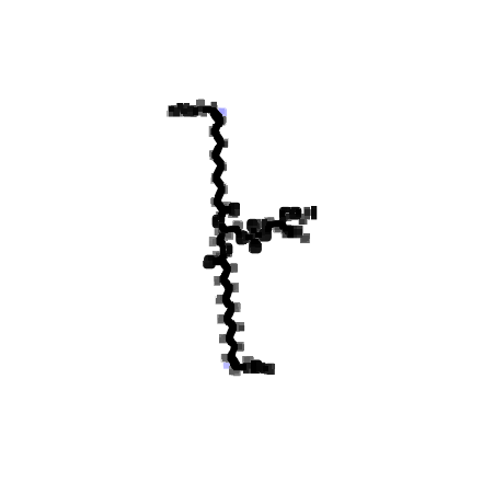 CCCCCCCCC/C=C\CCCCCCCC(=O)O[C@H](COC(=O)CCCCCCCCC/C=C\CCCCCCCCCC)COP(=O)(O)OC[C@H](N)C(=O)O